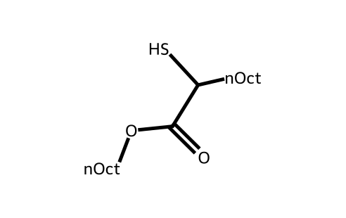 CCCCCCCCOC(=O)C(S)CCCCCCCC